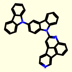 c1cc2c3c(cc(-n4c5ccccc5c5cc(-n6c7ccccc7c7ccccc76)ccc54)nc3c1)-c1ccncc1-2